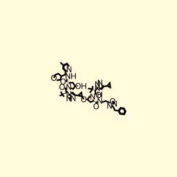 Cc1ccnc(C(NC(=O)[C@@H]2C[C@@H](O)CN2C(=O)[C@@H](n2cc(C3CC3O[C@@H]3C[C@@H](C(=O)NCCc4nc(Cc5ccccc5)no4)N(C(=O)[C@@H](n4cc(C5CC5)nn4)C(C)(C)C)C3)nn2)C(C)(C)C)C2CCOCC2)c1